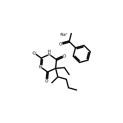 CC(=O)c1ccccc1.CCCC(C)C1(CC)C(=O)N=C([O-])NC1=O.[Na+]